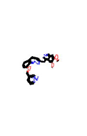 COc1cc2cncc(Cc3ccc4cccc(OCc5cccnc5)c4n3)c2cc1OC